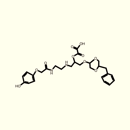 O=C(COc1ccc(O)cc1)NCCNCC(COC1COC(Cc2ccccc2)CO1)OC(=O)C(=O)O